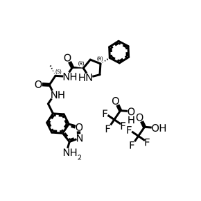 C[C@H](NC(=O)[C@H]1C[C@H](c2ccccc2)CN1)C(=O)NCc1ccc2c(N)noc2c1.O=C(O)C(F)(F)F.O=C(O)C(F)(F)F